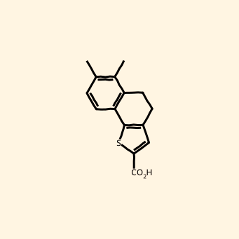 Cc1ccc2c(c1C)CCc1cc(C(=O)O)sc1-2